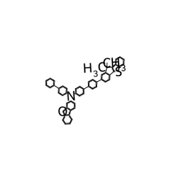 CC1(C)c2cc(-c3ccc(-c4ccc(N(c5ccc(-c6ccccc6)cc5)c5ccc6c(c5)oc5ccccc56)cc4)cc3)ccc2-c2sc3ccccc3c21